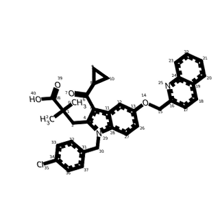 CC(C)(Cc1c(C(=O)C2CC2)c2cc(OCc3ccc4ccccc4n3)ccc2n1Cc1ccc(Cl)cc1)C(=O)O